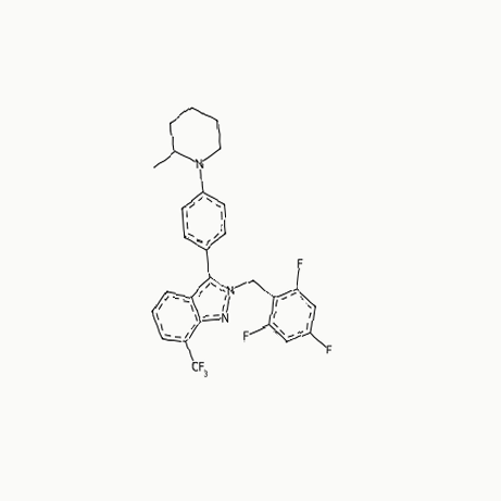 CC1CCCCN1c1ccc(-c2c3cccc(C(F)(F)F)c3nn2Cc2c(F)cc(F)cc2F)cc1